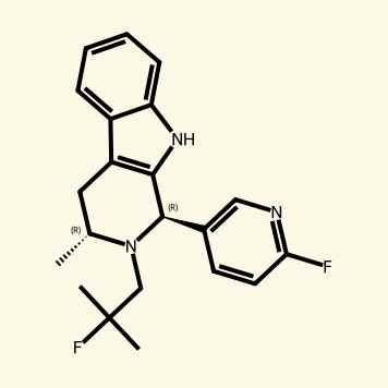 C[C@@H]1Cc2c([nH]c3ccccc23)[C@@H](c2ccc(F)nc2)N1CC(C)(C)F